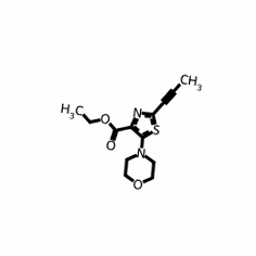 CC#Cc1nc(C(=O)OCC)c(N2CCOCC2)s1